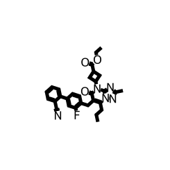 CCCc1c(Cc2ccc(-c3ccccc3C#N)cc2F)c(=O)n(C2CC(C(=O)OCC)C2)c2nc(C)nn12